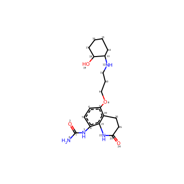 NC(=O)Nc1ccc(OCCCNC2CCCCC2O)c2c1NC(=O)CC2